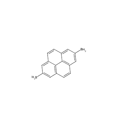 Bc1cc2ccc3cc(B)cc4ccc(c1)c2c34